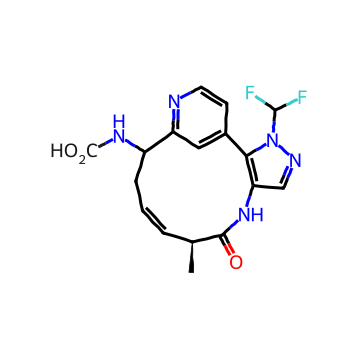 C[C@H]1C=CCC(NC(=O)O)c2cc(ccn2)-c2c(cnn2C(F)F)NC1=O